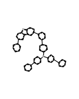 c1ccc(-c2ccc(N(c3ccc(-c4ccccc4)cc3)c3ccc(-c4cccc(-c5ccc6oc7ccc(-c8ccccc8)cc7c6c5)c4)cc3)cc2)cc1